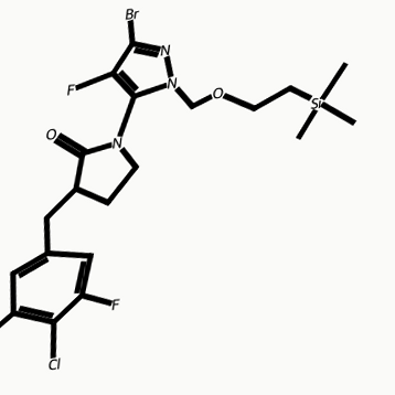 C[Si](C)(C)CCOCn1nc(Br)c(F)c1N1CCC(Cc2cc(F)c(Cl)c(F)c2)C1=O